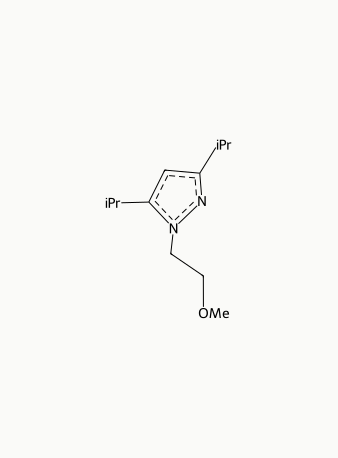 COCCn1nc(C(C)C)cc1C(C)C